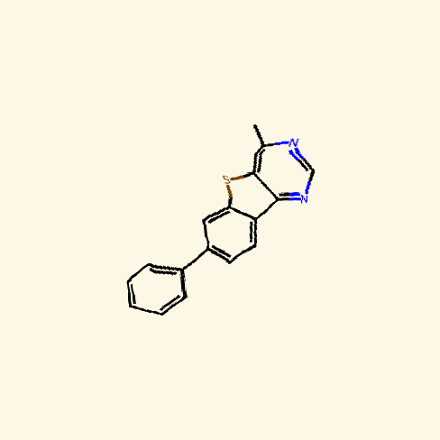 Cc1ncnc2c1sc1cc(-c3ccccc3)ccc12